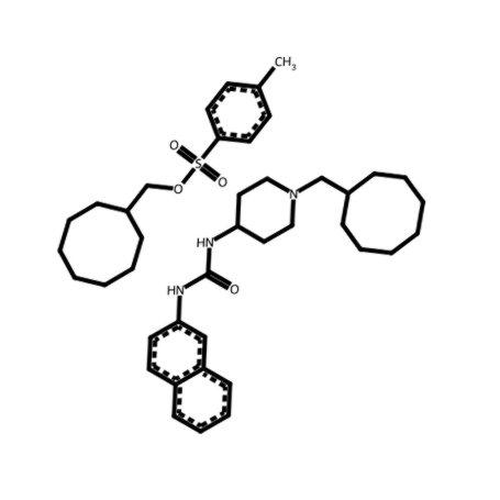 Cc1ccc(S(=O)(=O)OCC2CCCCCCC2)cc1.O=C(Nc1ccc2ccccc2c1)NC1CCN(CC2CCCCCCC2)CC1